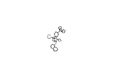 O=C(NCc1cccc2ccccc12)c1cc([N+](=O)[O-])ccc1NC1CCCC1